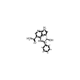 NC(=O)c1cnc2[nH]ccc2c1N[C@@H](CO)c1ccccc1